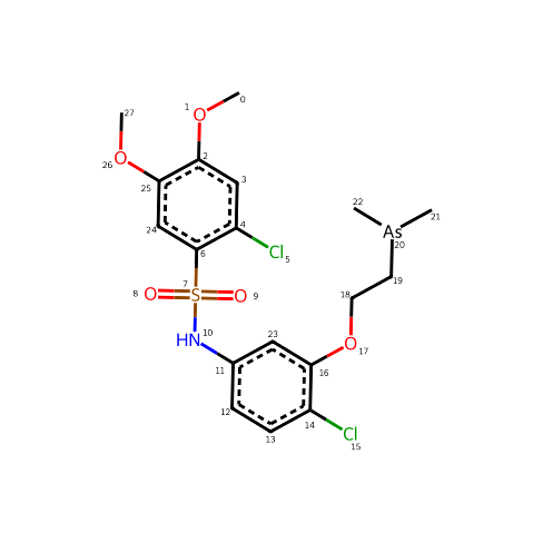 COc1cc(Cl)c(S(=O)(=O)Nc2ccc(Cl)c(OCC[As](C)C)c2)cc1OC